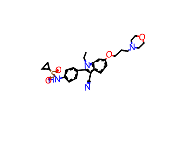 CCn1c(-c2ccc(NS(=O)(=O)C3CC3)cc2)c(C#N)c2ccc(OCCCN3CCOCC3)cc21